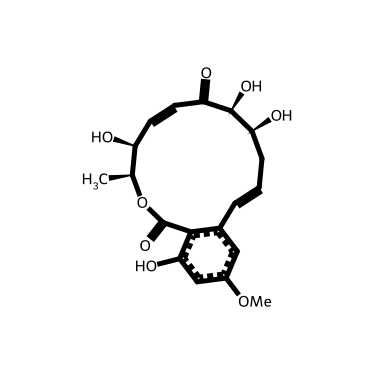 COc1cc(O)c2c(c1)/C=C/C[C@H](O)[C@H](O)C(=O)/C=C\[C@H](O)[C@H](C)OC2=O